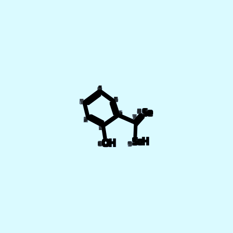 Oc1ccccc1C(=[Se])[SeH]